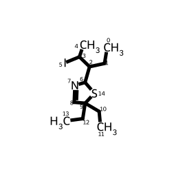 CCC(C(C)I)C1N=CC(CC)(CC)S1